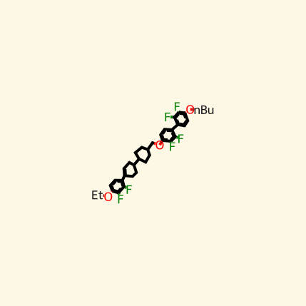 CCCCOc1ccc(-c2ccc(OCC3CCC(C4CC=C(c5ccc(OCC)c(F)c5F)CC4)CC3)c(F)c2F)c(F)c1F